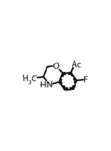 CC(=O)c1c(F)ccc2c1OCC(C)N2